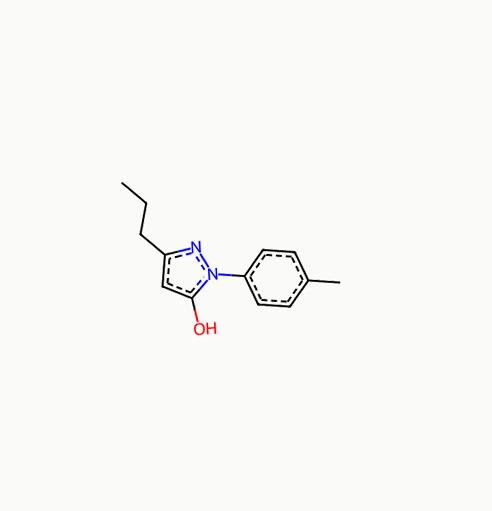 CCCc1cc(O)n(-c2ccc(C)cc2)n1